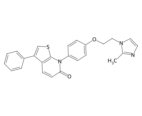 Cc1nccn1CCOc1ccc(-n2c(=O)ccc3c(-c4ccccc4)csc32)cc1